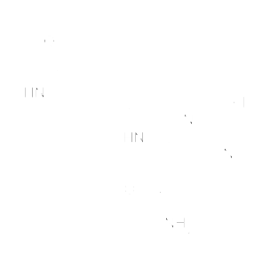 NC(=O)c1cnc(Cl)nc1Nc1cccc2c1CCNC2=O